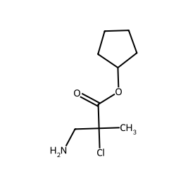 CC(Cl)(CN)C(=O)OC1CCCC1